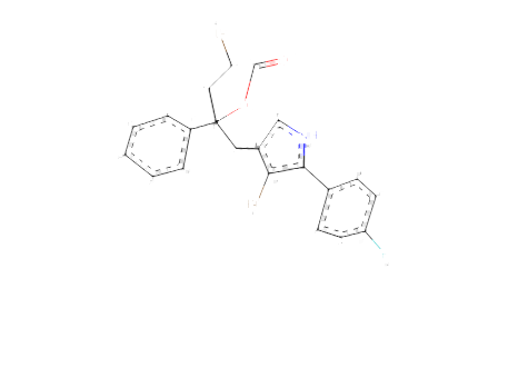 O=COC(CCBr)(Cc1c[nH]c(-c2ccc(F)cc2)c1Br)c1ccccc1